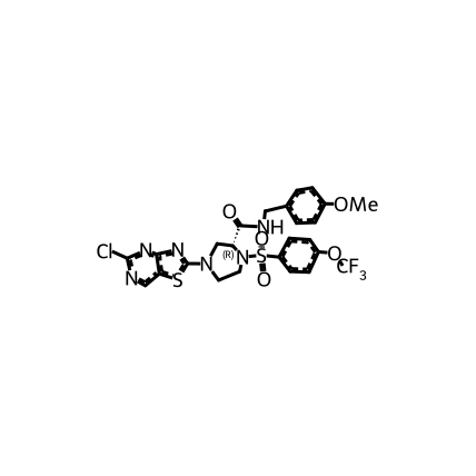 COc1ccc(CNC(=O)[C@H]2CN(c3nc4nc(Cl)ncc4s3)CCN2S(=O)(=O)c2ccc(OC(F)(F)F)cc2)cc1